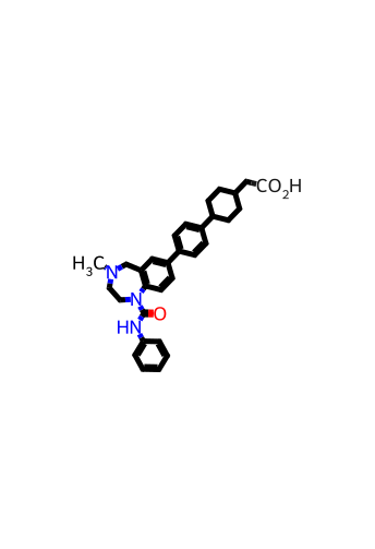 CN1CCN(C(=O)Nc2ccccc2)c2ccc(-c3ccc(C4CCC(CC(=O)O)CC4)cc3)cc2C1